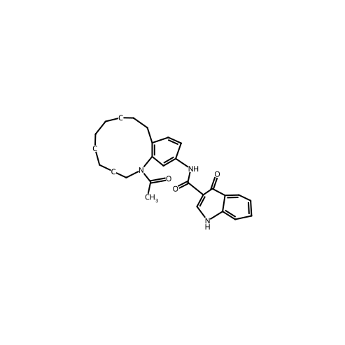 CC(=O)N1CCCCCCCCCc2ccc(NC(=O)c3c[nH]c4ccccc4c3=O)cc21